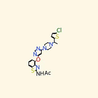 CC(=O)Nc1nc2c(Oc3cc(N4CCN(C(C)c5ccc(Cl)s5)CC4)ncn3)cccc2s1